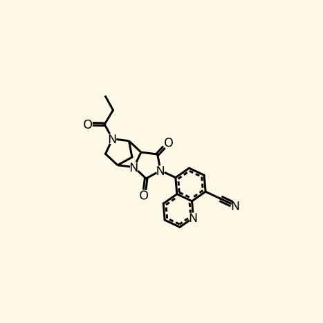 CCC(=O)N1CC2CC1C1C(=O)N(c3ccc(C#N)c4ncccc34)C(=O)N21